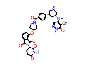 CN1C[C@H](Nc2cnn(C)c(=O)c2Br)C[C@H](c2ccc(C(=O)N3CCC(Oc4cccc5c4C(=O)N(C4CCC(=O)NC4=O)C5=O)CC3)cc2)C1